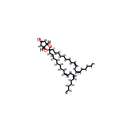 CCCCC/C=C\C/C=C\CCCCCCCCC1(CCCCCCCC/C=C\C/C=C\CCCCC)O[C@H]2CC(=O)C[C@H]2O1